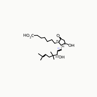 CC(C)=CCC(C)(C)[C@@H](O)/C=C/[C@H]1[C@H](O)CC(=O)[C@@H]1CCCCCCC(=O)O